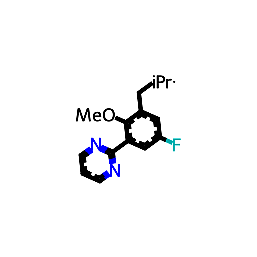 COc1c(C[C](C)C)cc(F)cc1-c1ncccn1